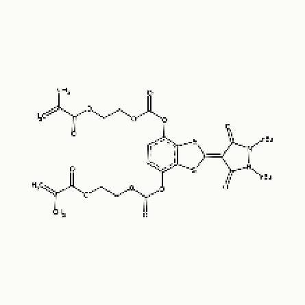 C=C(C)C(=O)OCCOC(=O)Oc1ccc(OC(=O)OCCOC(=O)C(=C)C)c2c1SC(=C1C(=O)N(CCCC)N(CCCC)C1=O)S2